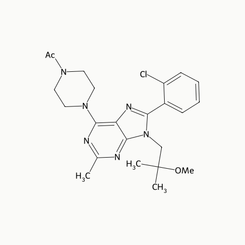 COC(C)(C)Cn1c(-c2ccccc2Cl)nc2c(N3CCN(C(C)=O)CC3)nc(C)nc21